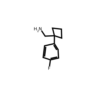 NCC1(c2ccc(F)cc2)CCC1